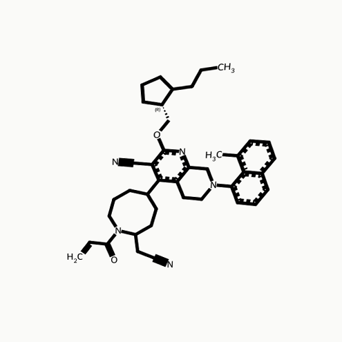 C=CC(=O)N1CCCC(c2c(C#N)c(OC[C@@H]3CCCC3CCC)nc3c2CCN(c2cccc4cccc(C)c24)C3)CCC1CC#N